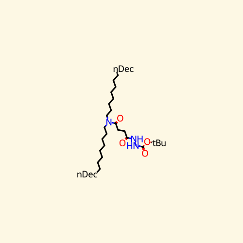 CCCCCCCCCCCCCCCCCCN(CCCCCCCCCCCCCCCCCC)C(=O)CCC(=O)NNC(=O)OC(C)(C)C